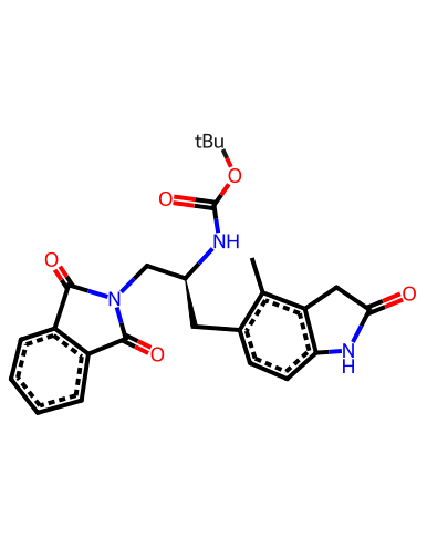 Cc1c(C[C@@H](CN2C(=O)c3ccccc3C2=O)NC(=O)OC(C)(C)C)ccc2c1CC(=O)N2